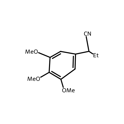 [CH2]CC(C#N)c1cc(OC)c(OC)c(OC)c1